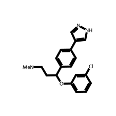 CNCCC(Oc1cccc(Cl)c1)c1ccc(-c2cn[nH]c2)cc1